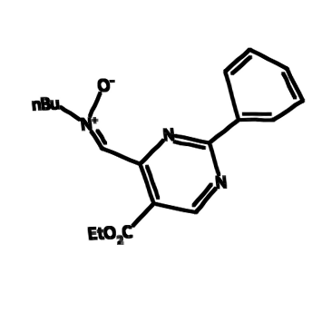 CCCC[N+]([O-])=Cc1nc(-c2ccccc2)ncc1C(=O)OCC